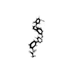 CC(C)C(=O)Nc1cccc(C2CCN(Cc3ccc4c(ccn4-c4ccccc4F)c3)CC2)c1